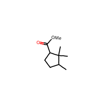 COC(=O)C1CCC(C)C1(C)C